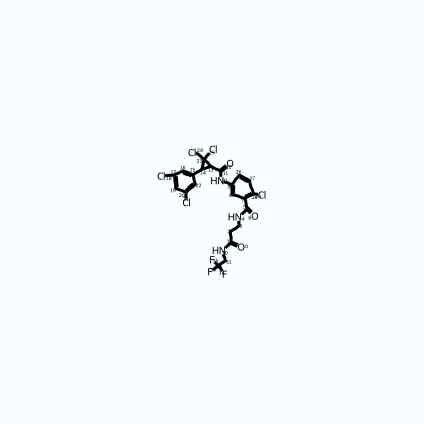 O=C(CCNC(=O)c1cc(NC(=O)C2C(c3cc(Cl)cc(Cl)c3)C2(Cl)Cl)ccc1Cl)NCC(F)(F)F